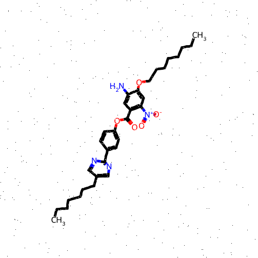 CCCCCCCCOc1cc([N+](=O)[O-])c(C(=O)Oc2ccc(-c3ncc(CCCCCCC)cn3)cc2)cc1N